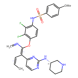 C=N/C(Oc1ccc(NS(=O)(=O)c2ccc(OC)cc2)c(F)c1F)=C(\C=C/C)c1ccnc(N[C@H]2CCCNC2)n1